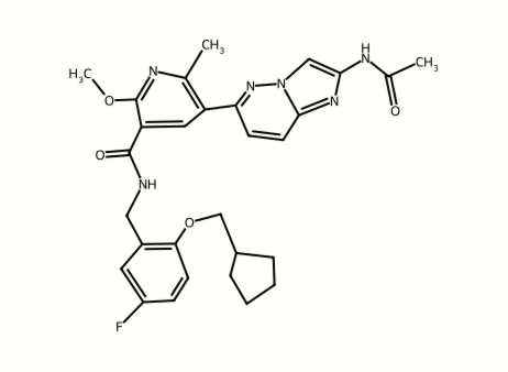 COc1nc(C)c(-c2ccc3nc(NC(C)=O)cn3n2)cc1C(=O)NCc1cc(F)ccc1OCC1CCCC1